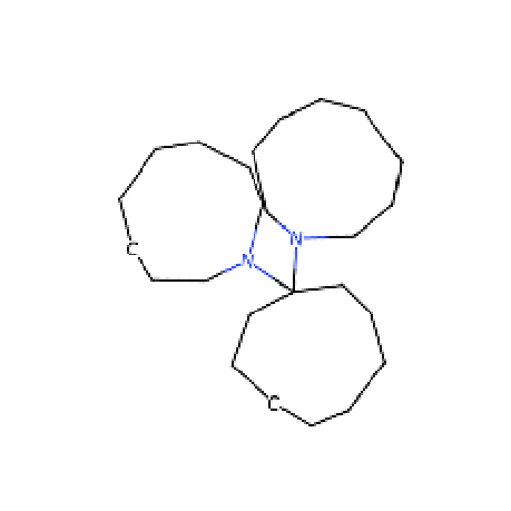 C1CCCCN(C2(N3CCCCCCCC3)CCCCCCCC2)CCC1